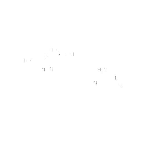 Cc1nnc([C@](C)(O)C#Cc2cccc(-c3ccc4cnnc(N)c4n3)c2)o1